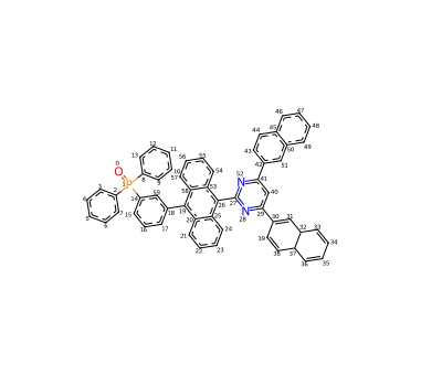 O=P(c1ccccc1)(c1ccccc1)c1cccc(-c2c3ccccc3c(-c3nc(C4=CC5C=CC=CC5C=C4)cc(-c4ccc5ccccc5c4)n3)c3ccccc23)c1